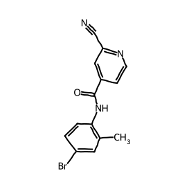 Cc1cc(Br)ccc1NC(=O)c1ccnc(C#N)c1